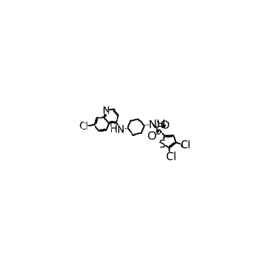 O=S(=O)(N[C@H]1CC[C@@H](Nc2ccnc3cc(Cl)ccc23)CC1)c1cc(Cl)c(Cl)s1